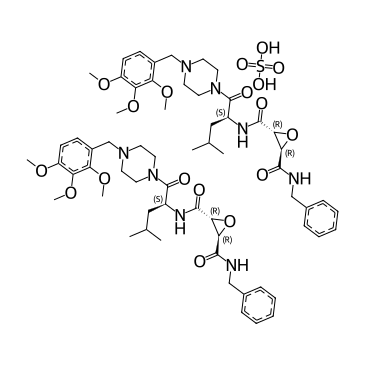 COc1ccc(CN2CCN(C(=O)[C@H](CC(C)C)NC(=O)[C@@H]3O[C@H]3C(=O)NCc3ccccc3)CC2)c(OC)c1OC.COc1ccc(CN2CCN(C(=O)[C@H](CC(C)C)NC(=O)[C@@H]3O[C@H]3C(=O)NCc3ccccc3)CC2)c(OC)c1OC.O=S(=O)(O)O